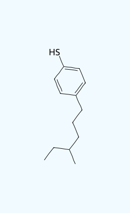 CCC(C)CCCc1ccc(S)cc1